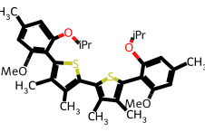 COc1cc(C)cc(OC(C)C)c1-c1sc(-c2sc(-c3c(OC)cc(C)cc3OC(C)C)c(C)c2C)c(C)c1C